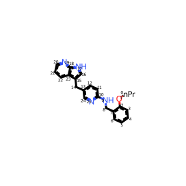 CCCOc1ccccc1CNc1ccc(Cc2c[nH]c3ncccc23)cn1